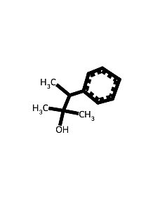 CC(c1ccccc1)C(C)(C)O